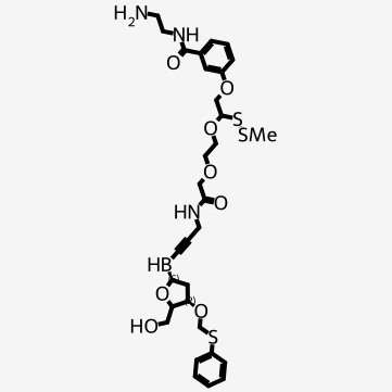 CSSC(COc1cccc(C(=O)NCCN)c1)OCCOCC(=O)NCC#CB[C@H]1C[C@@H](OCSc2ccccc2)C(CO)O1